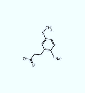 CSc1ccc(I)c(CCC(=O)[O-])c1.[Na+]